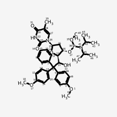 COc1ccc(C(c2ccccc2)(c2ccc(OC)cc2)C(O)[C@H]2O[C@@H](n3cc(C)c(=O)[nH]c3=O)C[C@@H]2OP(OC)N(C(C)C)C(C)C)cc1